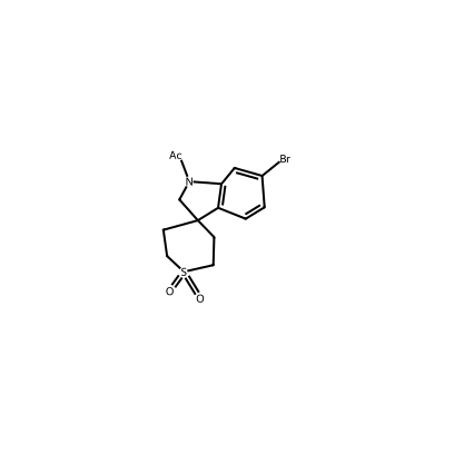 CC(=O)N1CC2(CCS(=O)(=O)CC2)c2ccc(Br)cc21